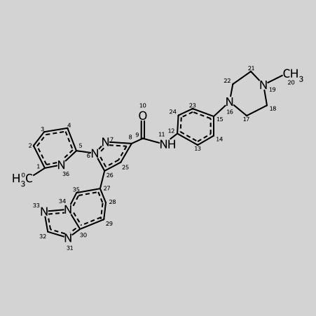 Cc1cccc(-n2nc(C(=O)Nc3ccc(N4CCN(C)CC4)cc3)cc2-c2ccc3ncnn3c2)n1